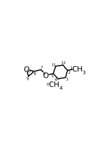 C.CC1CCC(OCC2CO2)CC1